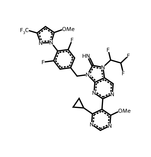 COc1ncnc(C2CC2)c1-c1ncc2c(n1)n(Cc1cc(F)c(-n3nc(C(F)(F)F)cc3OC)c(F)c1)c(=N)n2C(F)C(F)F